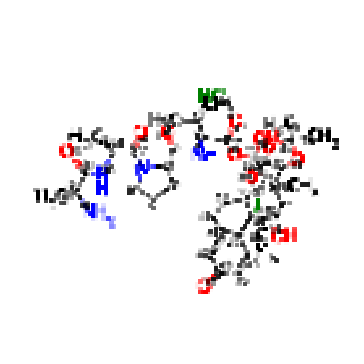 CC(C)[C@H](NC(=O)[C@@H]1CCCN1C(=O)[C@H](C)NC(=O)[C@H](C)N)C(=O)OC(O)C(=O)[C@@]12OC(C)(C)OC1CC1C3CCC4=CC(=O)C=C[C@]4(C)C3(F)[C@@H](O)C[C@@]12C.Cl